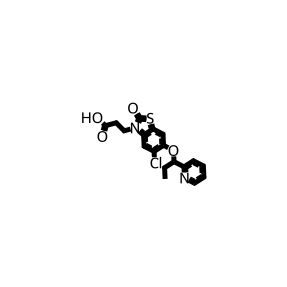 CCC(Oc1cc2sc(=O)n(CCC(=O)O)c2cc1Cl)c1ccccn1